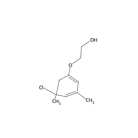 CC1=CC(C)(Cl)CC(OCCO)=C1